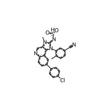 Cc1ccc(C#N)cc1-n1c(=N[SH](=O)=O)n(C)c2cnc3ccc(-c4ccc(Cl)cc4)cc3c21